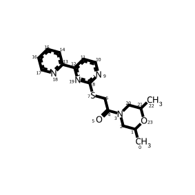 CC1CN(C(=O)CSc2nccc(-c3ccccn3)n2)CC(C)O1